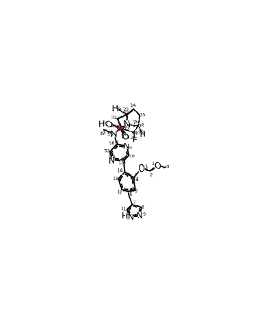 COCOc1cc(-c2cn[nH]c2)ccc1-c1cnc(N(C)[C@H]2C[C@@H]3CC[C@H]([C@H]2F)N3C(=O)O)cn1